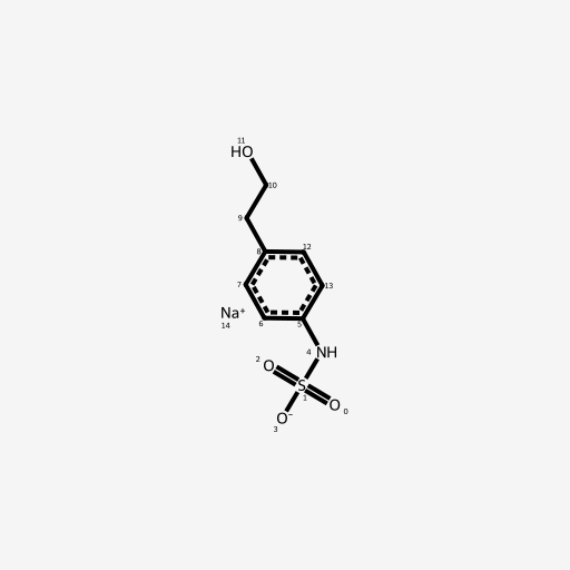 O=S(=O)([O-])Nc1ccc(CCO)cc1.[Na+]